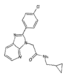 O=C(Cn1c(-c2ccc(Cl)cc2)nc2cccnc21)NCC1CC1